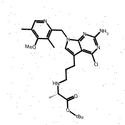 COc1c(C)cnc(Cn2cc(CCCN[C@@H](C)C(=O)OC(C)(C)C)c3c(Cl)nc(N)nc32)c1C